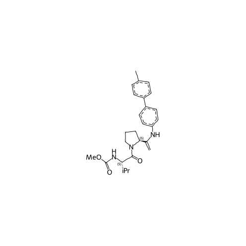 C=C(Nc1ccc(-c2ccc(C)cc2)cc1)[C@@H]1CCCN1C(=O)[C@@H](NC(=O)OC)C(C)C